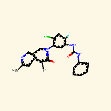 CCc1c(=O)n(-c2cc(NC(=O)Nc3ccccc3)c(F)cc2Cl)cc2cnc(NC)cc12